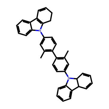 Cc1cc(N2c3ccccc3C3C=CC=CC32)ccc1-c1ccc(-n2c3c(c4ccccc42)C=CCC3)cc1C